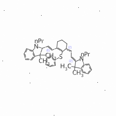 CCCN1/C(=C\C=C2\CCCC(/C=C/C3N(CCC)c4ccccc4C3(C)C)=C2Sc2ccccc2)C(C)(C)c2ccccc21